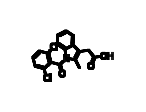 Cc1c(CC(=O)O)c2ccccc2n1C(=O)c1c(Cl)cccc1Cl